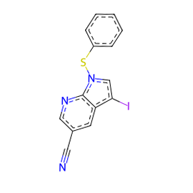 N#Cc1cnc2c(c1)c(I)cn2Sc1ccccc1